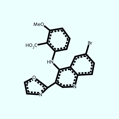 COc1cccc(Nc2c(-c3ncco3)cnc3ccc(Br)cc23)c1C(=O)O